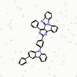 c1ccc(-c2ccc3c(c2)c2ccccc2n3-c2ccc(-c3nc(-c4ccccc4)c4c(n3)c3ccccc3n3c5ccccc5nc43)cc2)cc1